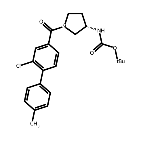 Cc1ccc(-c2ccc(C(=O)N3CC[C@H](NC(=O)OC(C)(C)C)C3)cc2Cl)cc1